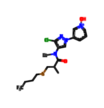 CCN(C(=O)C(C)CSCCCC(F)(F)F)c1cn(-c2ccc[n+](O)c2)nc1Cl